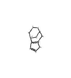 C1=CC2=C(C1)CC1CCCC2C1